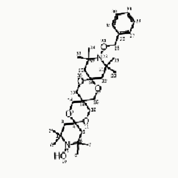 CC1(C)CC2(CC(C)(C)N1O)OCC1(CO2)COC2(CC(C)(C)N(OCc3ccccc3)C(C)(C)C2)OC1